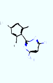 Cc1cc(C)c(-c2nc(N)cc(N)n2)c(C)c1